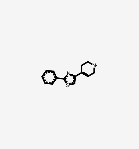 C1=C(c2csc(-c3ccccc3)n2)CC[N]C1